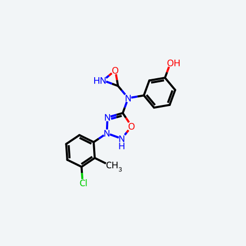 Cc1c(Cl)cccc1N1N=C(N(c2cccc(O)c2)C2NO2)ON1